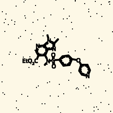 CCOC(=O)c1cnc2c(nc(C)n2C)c1N(C)S(=O)(=O)c1ccc(Oc2ccncc2)cc1